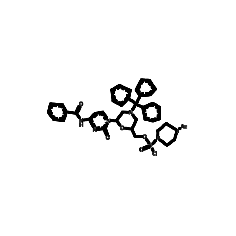 CC(=O)N1CCN(P(=O)(Cl)OCC2CN(C(c3ccccc3)(c3ccccc3)c3ccccc3)CC(n3ccc(NC(=O)c4ccccc4)nc3=O)O2)CC1